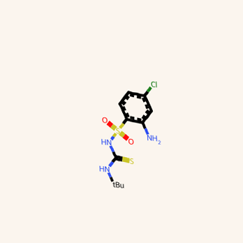 CC(C)(C)NC(=S)NS(=O)(=O)c1ccc(Cl)cc1N